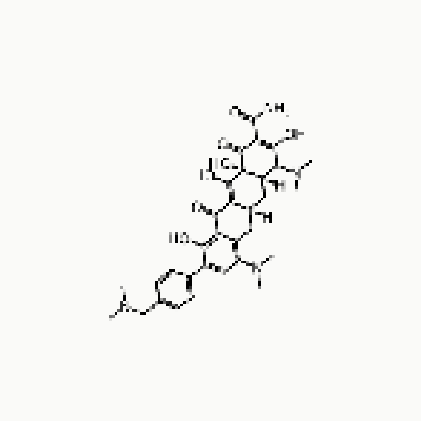 CN(C)Cc1ccc(-c2cc(N(C)C)c3c(c2O)C(=O)C2=C(O)[C@]4(O)C(=O)C(C(N)=O)=C(O)[C@@H](N(C)C)[C@@H]4C[C@@H]2C3)cc1